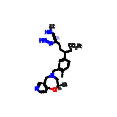 CCN/C=C(/CCC(CC(=O)OCC)c1ccc(C)c(CN2Cc3cnccc3O[C@H](CC)C2)c1)N=N